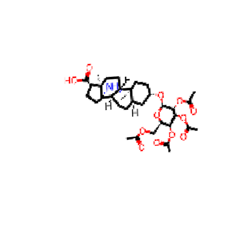 CC(=O)OC[C@H]1O[C@@H](O[C@H]2CC[C@@]3(C)[C@H](CC[C@@H]4[C@@H]3CC[C@]3(C)[C@@H](C(=O)O)CC[C@]43N)C2)[C@H](OC(C)=O)[C@@H](OC(C)=O)[C@@H]1OC(C)=O